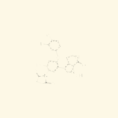 Cc1cc(Oc2ccc(Br)c(F)c2)c(-c2cn(C)c3c(=O)[nH]ccc23)cc1N1C(=O)CCC1=O